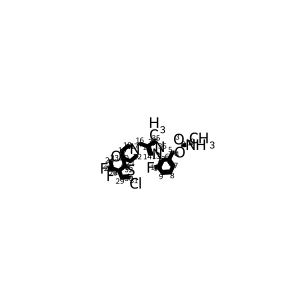 CNC(=O)OCc1cccc(F)c1-n1cc(CN2CCC3(CC2)OCC(F)(F)C2C=C(Cl)SC23)c(C)n1